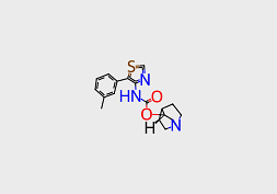 Cc1cccc(-c2scnc2NC(=O)O[C@H]2CN3CCC2CC3)c1